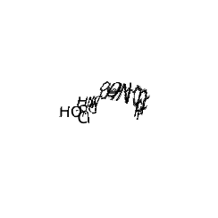 O=C(N/N=C/c1ccc(OCCNCc2ccc(OC(F)(F)F)cc2)c2ccccc12)c1ccc(O)c(Cl)c1